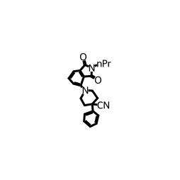 CCCN1C(=O)c2cccc(N3CCC(C#N)(c4ccccc4)CC3)c2C1=O